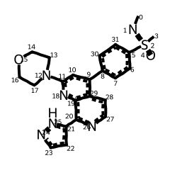 CN=S(C)(=O)c1ccc(-c2cc(N3CCOCC3)nc3c(-c4ccn[nH]4)nccc23)cc1